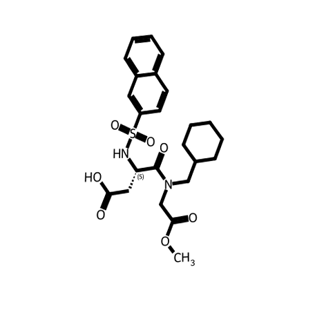 COC(=O)CN(CC1CCCCC1)C(=O)[C@H](CC(=O)O)NS(=O)(=O)c1ccc2ccccc2c1